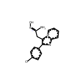 N/C(Cc1c(-c2ccc(Cl)cc2)nc2ccccn12)=N\O